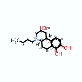 Br.CCCCN1CCC[C@H]2c3ccc(O)c(O)c3CC[C@H]21